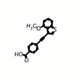 COc1cccc2scc(C#Cc3ccc(C(=O)O)cc3)c12